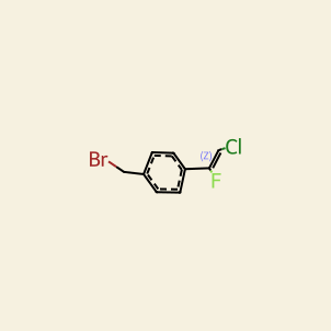 F/C(=C\Cl)c1ccc(CBr)cc1